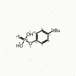 CC(C)(C)c1ccc(OP(O)(O)=S)cc1